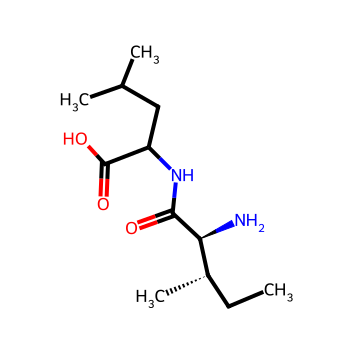 CC[C@H](C)[C@H](N)C(=O)NC(CC(C)C)C(=O)O